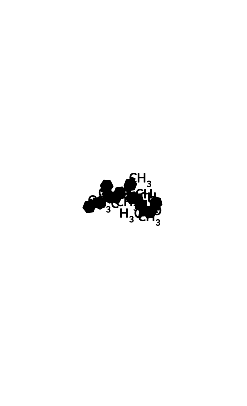 Cc1ccc(N(c2ccc3c(c2)C(C)(C)c2cc4c(cc2-3)C(C)(C)c2ccc3oc5ccccc5c3c2-4)c2ccc3c(c2)C(C)(C)c2cc(-c4ccc5c(c4)oc4ccccc45)c4oc5ccccc5c4c2-3)cc1